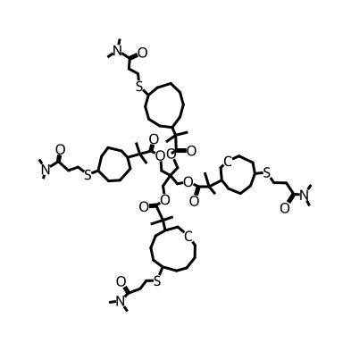 CN(C)C(=O)CCSC1CCCCCCC(C(C)(C)C(=O)OCC(COC(=O)C(C)(C)C2CCCCCC(SCCC(=O)N(C)C)CCC2)(COC(=O)C(C)(C)C2CCCCC(SCCC(=O)N(C)C)CCC2)COC(=O)C(C)(C)C2CCCC(SCCC(=O)N(C)C)CCC2)CCC1